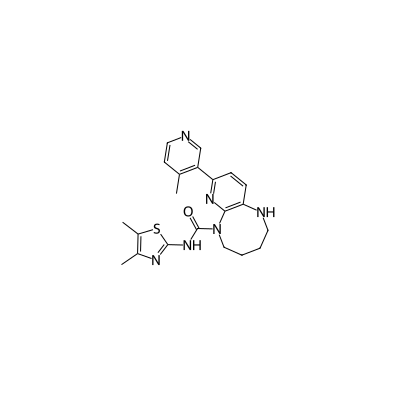 Cc1ccncc1-c1ccc2c(n1)N(C(=O)Nc1nc(C)c(C)s1)CCCCN2